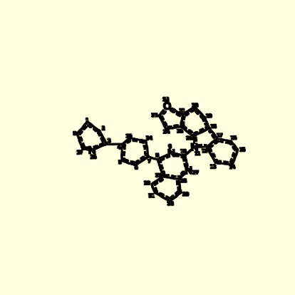 c1ccc(-c2ccc(-c3nc(-n4c5ccccc5c5ccc6occc6c54)nc4ccccc34)cc2)nc1